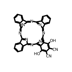 N#Cc1c(C#N)c(O)c2c3nc4nc(nc5[nH]c(nc6nc(nc([nH]3)c2c1O)-c1ccccc1-6)c1ccccc51)-c1ccccc1-4